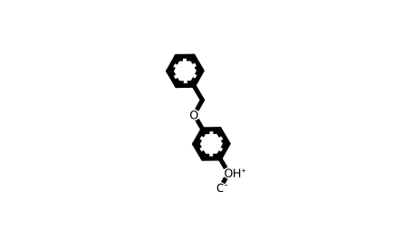 [CH2-][OH+]c1ccc(OCc2ccccc2)cc1